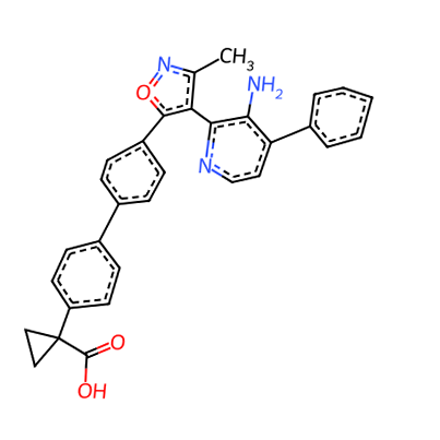 Cc1noc(-c2ccc(-c3ccc(C4(C(=O)O)CC4)cc3)cc2)c1-c1nccc(-c2ccccc2)c1N